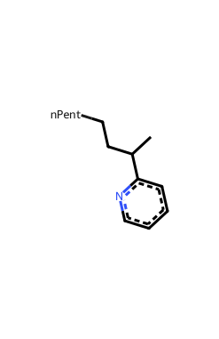 CCCCCCCC(C)c1ccccn1